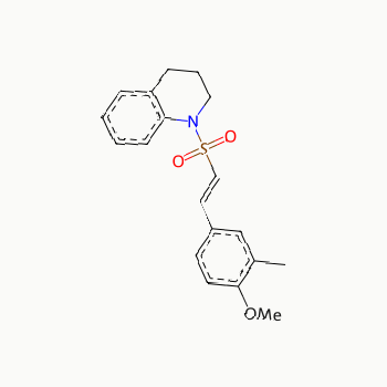 COc1ccc(/C=C/S(=O)(=O)N2CCCc3ccccc32)cc1C